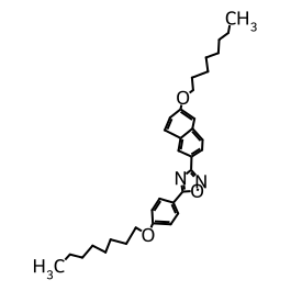 CCCCCCCCOc1ccc(-c2nc(-c3ccc4cc(OCCCCCCCC)ccc4c3)no2)cc1